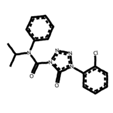 CC(C)N(C(=O)n1nnn(-c2ccccc2Cl)c1=O)c1ccccc1